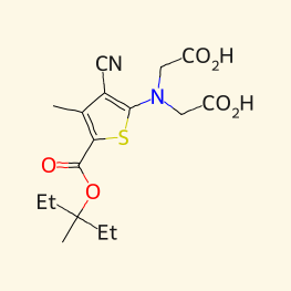 CCC(C)(CC)OC(=O)c1sc(N(CC(=O)O)CC(=O)O)c(C#N)c1C